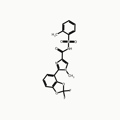 Cc1ccccc1S(=O)(=O)NC(=O)c1cn(C)c(-c2cccc3c2OC(F)(F)O3)n1